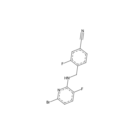 N#Cc1ccc(CNc2nc(Br)ccc2F)c(F)c1